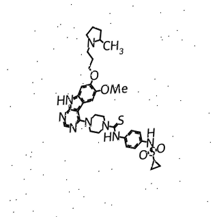 COc1cc2c(cc1OCCCN1CCCC1C)[nH]c1ncnc(N3CCN(C(=S)Nc4ccc(NS(=O)(=O)C5CC5)cc4)CC3)c12